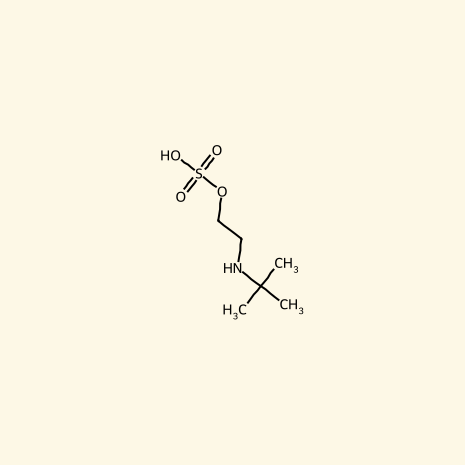 CC(C)(C)NCCOS(=O)(=O)O